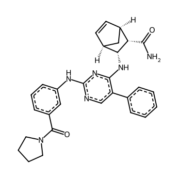 NC(=O)[C@@H]1[C@H](Nc2nc(Nc3cccc(C(=O)N4CCCC4)c3)ncc2-c2ccccc2)[C@H]2C=C[C@@H]1C2